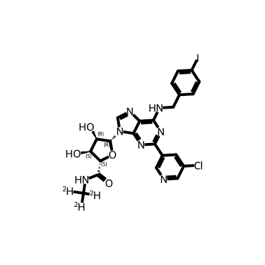 [2H]C([2H])([2H])NC(=O)[C@H]1O[C@@H](n2cnc3c(NCc4ccc(I)cc4)nc(-c4cncc(Cl)c4)nc32)[C@H](O)[C@@H]1O